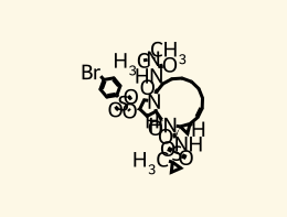 CN(C)C(=O)N[C@H]1CCCCC/C=C\[C@@H]2C[C@@]2(C(=O)NS(=O)(=O)C2(C)CC2)NC(=O)[C@@H]2C[C@H](OS(=O)(=O)c3ccc(Br)cc3)CN2C1=O